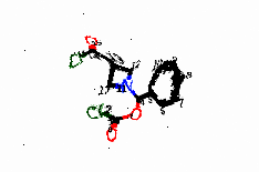 O=C(Cl)OC(c1ccccc1)N1CC(C(=O)Cl)C1